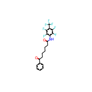 O=C(CCCCCC(=O)c1ccccc1)Nc1c(F)c(F)c(C(F)(F)F)c(F)c1F